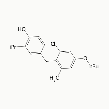 CCCCOc1cc(C)c(Cc2ccc(O)c(C(C)C)c2)c(Cl)c1